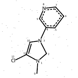 CN1CN(c2cccnc2)C=C1Cl